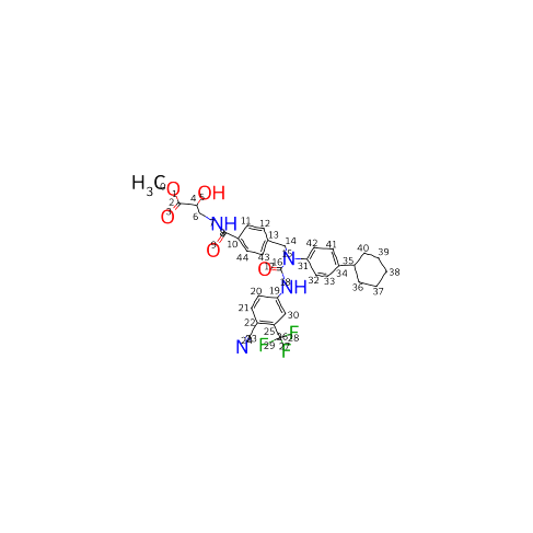 COC(=O)C(O)CNC(=O)c1ccc(CN(C(=O)Nc2ccc(C#N)c(C(F)(F)F)c2)c2ccc(C3CCCCC3)cc2)cc1